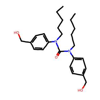 CCCCCN(C(=O)N(CCCCC)c1ccc(CO)cc1)c1ccc(CO)cc1